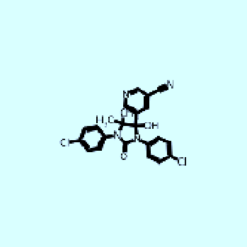 CC1(C)N(c2ccc(Cl)cc2)C(=O)N(c2ccc(Cl)cc2)C1(O)c1cncc(C#N)c1